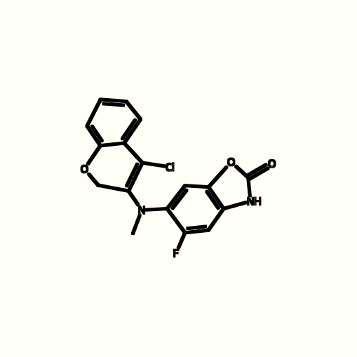 CN(C1=C(Cl)c2ccccc2OC1)c1cc2oc(=O)[nH]c2cc1F